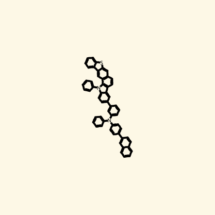 c1ccc(N(c2ccc(-c3ccc4ccccc4c3)cc2)c2cccc(-c3ccc4c(c3)c3ccc5cc6sc7ccccc7c6cc5c3n4-c3ccccc3)c2)cc1